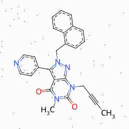 CC#CCn1c(=O)n(C)c(=O)c2c(-c3ccncc3)n(Cc3cccc4ccccc34)nc21